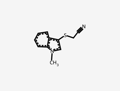 Cn1cc(SCC#N)c2ccccc21